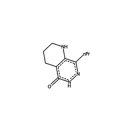 CCCc1n[nH]c(=O)c2c1NCCC2